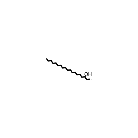 [CH2]CC(O)CCCCCCCCCCCCCCCC